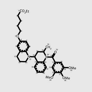 CCOC(=O)CCCCOc1ccc2c(c1)CCCN2C1CC(C)N(C(=O)c2cc(OC)c(OC)c(OC)c2)c2ccccc21